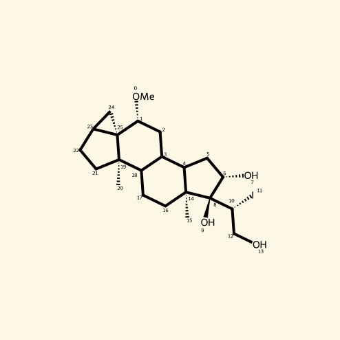 CO[C@@H]1CC2C3C[C@H](O)[C@](O)([C@H](I)CO)[C@@]3(C)CCC2[C@@]2(C)CCC3C[C@]312